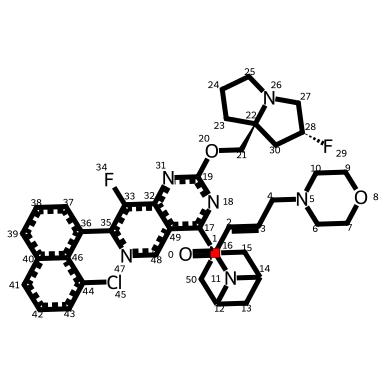 O=C(/C=C/CN1CCOCC1)N1C2CC1CN(c1nc(OC[C@@]34CCCN3C[C@H](F)C4)nc3c(F)c(-c4cccc5cccc(Cl)c45)ncc13)C2